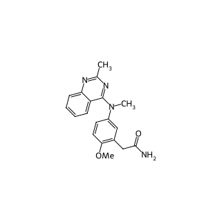 COc1ccc(N(C)c2nc(C)nc3ccccc23)cc1CC(N)=O